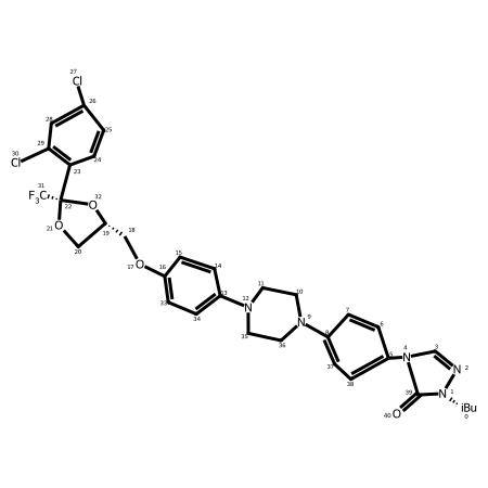 CC[C@@H](C)n1ncn(-c2ccc(N3CCN(c4ccc(OC[C@@H]5CO[C@](c6ccc(Cl)cc6Cl)(C(F)(F)F)O5)cc4)CC3)cc2)c1=O